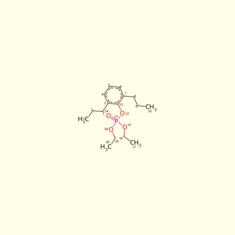 CCCc1cccc(CCC)c1OP(=O)(OCC)OCC